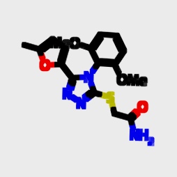 COc1cccc(OC)c1-n1c(SCC(N)=O)nnc1-c1ccc(C)o1